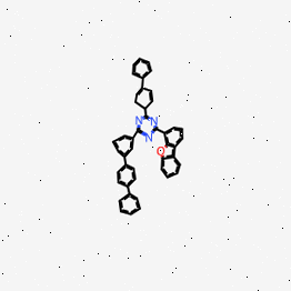 C1=CC(c2nc(-c3cccc(-c4ccc(-c5ccccc5)cc4)c3)nc(-c3cccc4c3oc3ccccc34)n2)CC=C1c1ccccc1